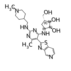 Cc1nc(NCC2CCN(C)CC2)nc(N[C@@H]2C[C@H](CO)[C@@H](O)[C@H]2O)c1-c1nc2cnccc2s1